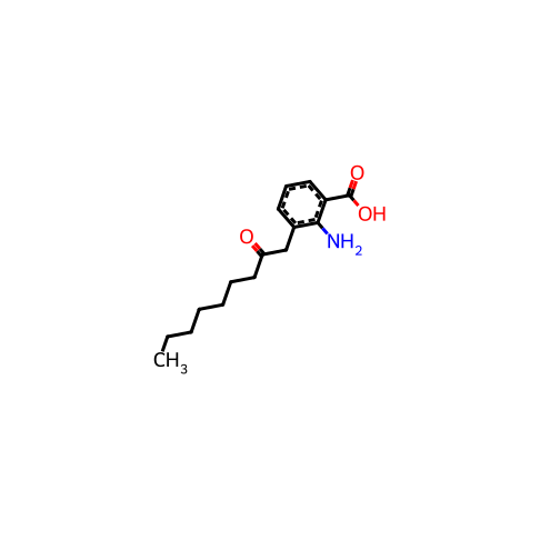 CCCCCCCC(=O)Cc1cccc(C(=O)O)c1N